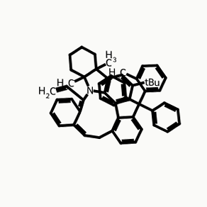 C=C/C1=c2/cccc/c2=C/Cc2cccc(C(c3ccccc3)(c3ccccc3)c3ccccc3C)c2-c2cc(C(C)(C)C)cc3c2N1C1(C)CCCCC31C